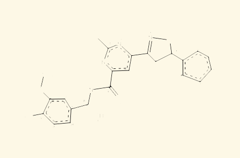 COc1cc([C@@H](C)NC(=O)c2cc(C3=NOC(c4ccccc4)C3)nc(C)n2)ccc1F